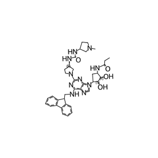 CCC(=O)NC1CC(n2cnc3c(NCC4c5ccccc5-c5ccccc54)nc(N4CC[C@@H](NC(=O)NC5CCN(C)C5)C4)nc32)[C@H](O)[C@@H]1O